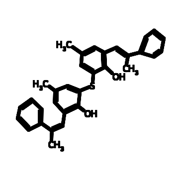 CC(=Cc1cc(C)cc(Sc2cc(C)cc(C=C(C)c3ccccc3)c2O)c1O)c1ccccc1